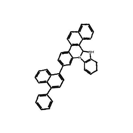 C1=CC2=C(CC1)NC1c3c(ccc4ccccc34)-c3ccc(-c4ccc(-c5ccccc5)c5ccccc45)cc3N21